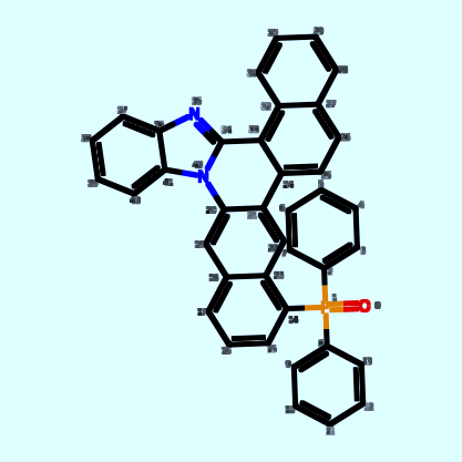 O=P(c1ccccc1)(c1ccccc1)c1cccc2cc3c(cc12)c1ccc2ccccc2c1c1nc2ccccc2n31